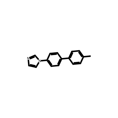 Cc1ccc(-c2ccc(-n3ccnc3)cc2)cc1